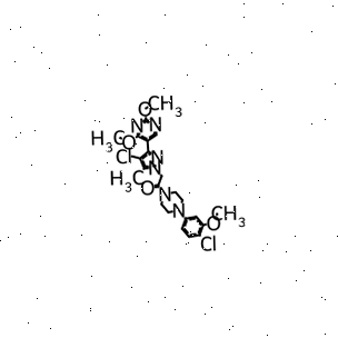 COc1ncc(-c2nn(CC(=O)N3CCN(c4ccc(Cl)c(OC)c4)CC3)c(C)c2Cl)c(OC)n1